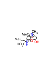 CO[C@@]12CC[C@H](N[C@@H](CCSC)C(=O)O)[C@@H]3Oc4c(O)ccc5c4[C@@]31CCN(C)C2C5